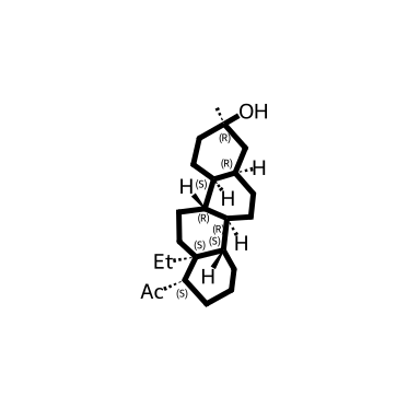 CC[C@]12CC[C@H]3[C@@H](CC[C@@H]4C[C@](C)(O)CC[C@@H]43)[C@@H]1CCC[C@@H]2C(C)=O